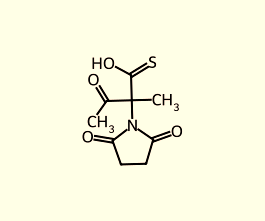 CC(=O)C(C)(C(O)=S)N1C(=O)CCC1=O